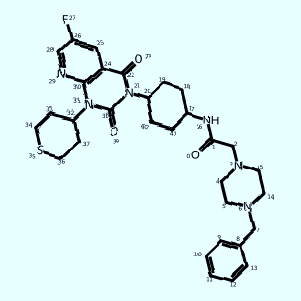 O=C(CN1CCN(Cc2ccccc2)CC1)NC1CCC(n2c(=O)c3cc(F)cnc3n(C3CCSCC3)c2=O)CC1